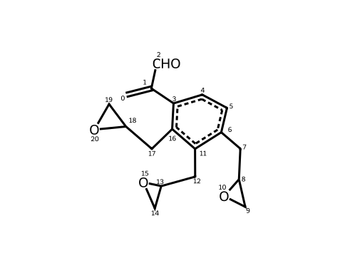 C=C(C=O)c1ccc(CC2CO2)c(CC2CO2)c1CC1CO1